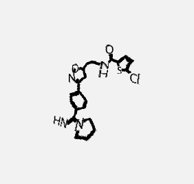 N=C(c1ccc(C2=NOC(CNC(=O)C3=CCC(Cl)S3)C2)cc1)N1CCCC1